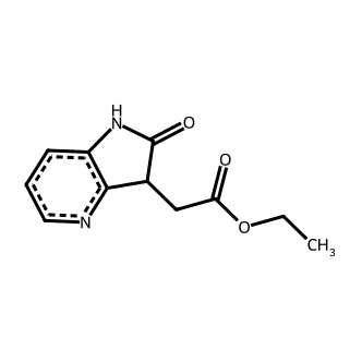 CCOC(=O)CC1C(=O)Nc2cccnc21